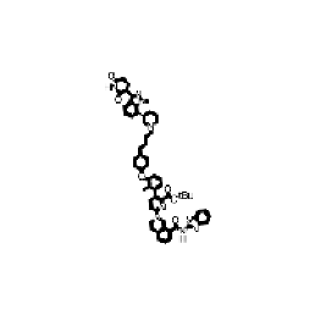 Cc1c(OC2CCC(CCCCN3CCC[C@H](c4cccc5c(C6CCC(=O)NC6=O)nn(C)c45)C3)CC2)cccc1-c1ccc(N2CCc3cccc(C(=O)Nc4nc5ccccc5s4)c3C2)nc1C(=O)OC(C)(C)C